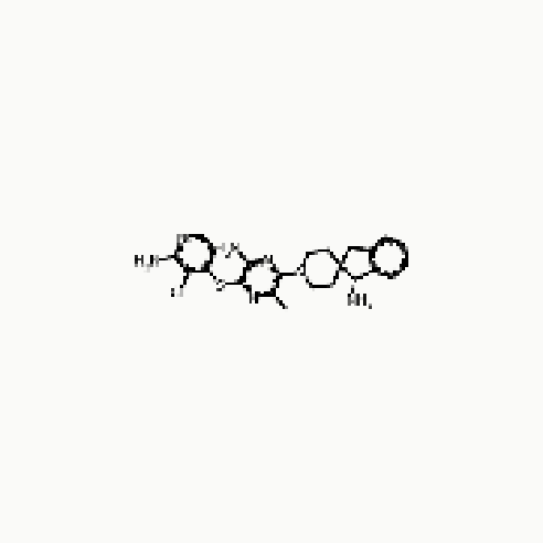 Cc1nc(Sc2ccnc(N)c2Cl)c(N)nc1N1CCC2(CC1)Cc1ccccc1[C@H]2N